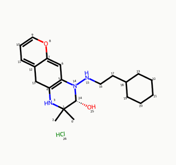 CC1(C)NC2=C(C=C3OC=CC=C3C2)N(NCCC2CCCCC2)[C@@H]1O.Cl